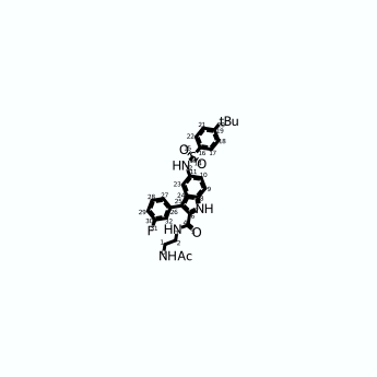 CC(=O)NCCNC(=O)c1[nH]c2ccc(NS(=O)(=O)c3ccc(C(C)(C)C)cc3)cc2c1-c1cccc(F)c1